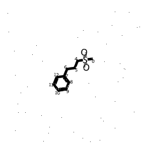 CS(=O)(=O)CCCc1ccccc1